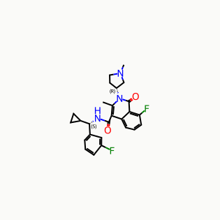 Cc1c(C(=O)N[C@H](c2cccc(F)c2)C2CC2)c2cccc(F)c2c(=O)n1[C@@H]1CCN(C)C1